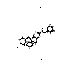 CC(C)CC(OC(=O)NCc1ccccc1)C(=O)N(CC1CCCCC1)C1(C#N)CCNC1